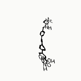 CC(=O)N1CCC(NCc2ccc(C#Cc3ccc(C(CO)Cc4nc[nH]c(=O)c4O)cc3)cc2)C1